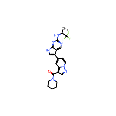 C[C@H](Nc1ncc2c(-c3ccn4ncc(C(=O)N5CCCCC5)c4c3)c[nH]c2n1)C(F)(F)F